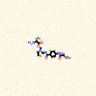 CC(C)C(N)C(=O)OCn1ccs/c1=N\C(=O)c1ccc(NC(=O)CC(C)(C)C)cc1